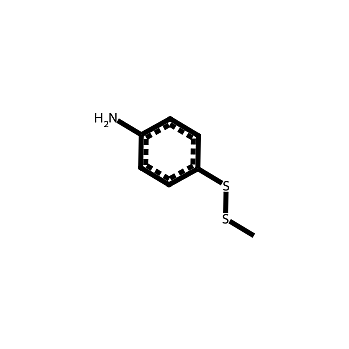 CSSc1ccc(N)cc1